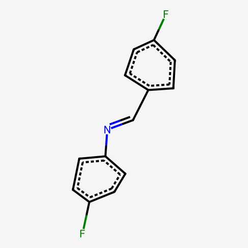 Fc1ccc(/C=N/c2ccc(F)cc2)cc1